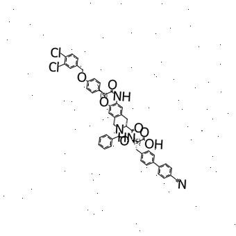 N#Cc1ccc(-c2ccc(C[C@H](NC(=O)C3Cc4cc5c(cc4CN3C(=O)c3ccccc3)O[C@@H](c3ccc(OCc4ccc(Cl)c(Cl)c4)cc3)C(=O)N5)C(=O)O)cc2)cc1